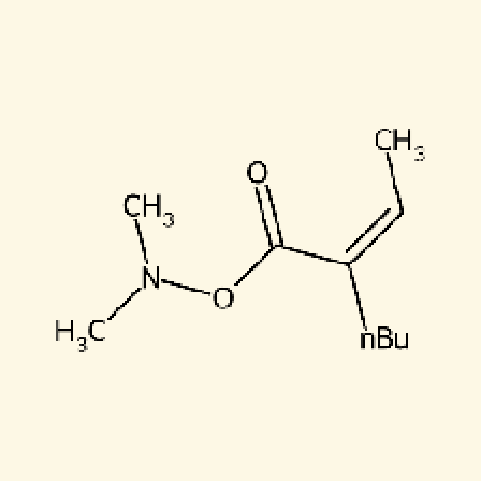 CC=C(CCCC)C(=O)ON(C)C